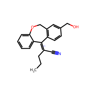 CCC/C(C#N)=C1/c2ccc(CO)cc2COc2ccccc21